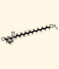 CCCCCCCCCCCCCCCCCCNc1ncnc(Cl)n1